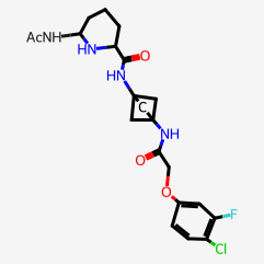 CC(=O)NC1CCCC(C(=O)NC23CC(NC(=O)COc4ccc(Cl)c(F)c4)(C2)C3)N1